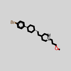 COCCC[SiH]1CCC(CC[C@H]2CC[C@H](c3ccc(Br)cc3)CC2)CC1